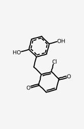 O=C1C=CC(=O)C(Cc2cc(O)ccc2O)=C1Cl